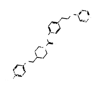 O=C(O)c1ccc(OCC2CCN(C(=O)Oc3ccc(CCOc4ccncc4)cc3)CC2)cc1